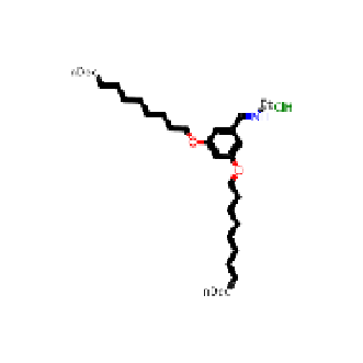 CCCCCCCCCCCCCCCCCCOc1cc(CNCC)cc(OCCCCCCCCCCCCCCCCCC)c1.Cl